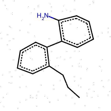 CCCc1ccccc1-c1ccccc1N